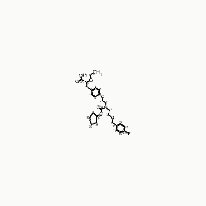 CCOC(Cc1ccc(OCCN(CCOCc2ccc(F)cc2)C(=O)OC2CCCC2)cc1)C(=O)O